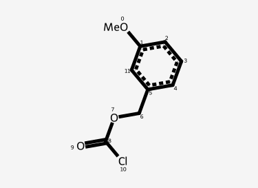 COc1cccc(COC(=O)Cl)c1